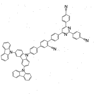 N#Cc1ccc(-c2cc(-c3ccc(-c4ccc(-c5ccc(-n6c7ccc(-n8c9ccccc9c9ccccc98)cc7c7cc(-n8c9ccccc9c9ccccc98)ccc76)cc5)cc4C#N)cc3)nc(-c3ccc(C#N)cc3)n2)cc1